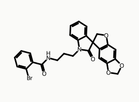 O=C(NCCCN1C(=O)C2(COc3cc4c(cc32)OCO4)c2ccccc21)c1ccccc1Br